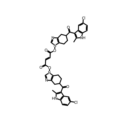 Cc1[nH]c2ccc(Cl)cc2c1C(=O)C1CCc2c(ncn2OC(=O)/C=C/C(=O)On2cnc3c2CCC(C(=O)c2c(C)[nH]c4ccc(Cl)cc24)C3)C1